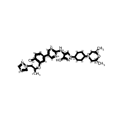 CC(Cn1cncn1)Oc1cc(-c2cnc(Nc3cn(C4CCC(N5C[C@@H](C)O[C@@H](C)C5)CC4)nc3O)nc2)ccc1Cl